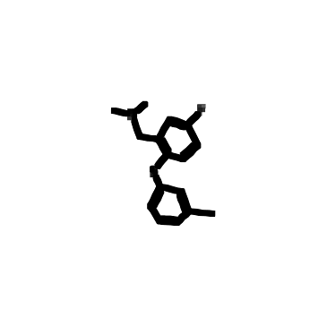 Cc1cccc(Sc2ccc(F)cc2CN(C)C)c1